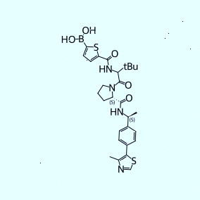 Cc1ncsc1-c1ccc([C@H](C)NC(=O)[C@@H]2CCCN2C(=O)C(NC(=O)c2ccc(B(O)O)s2)C(C)(C)C)cc1